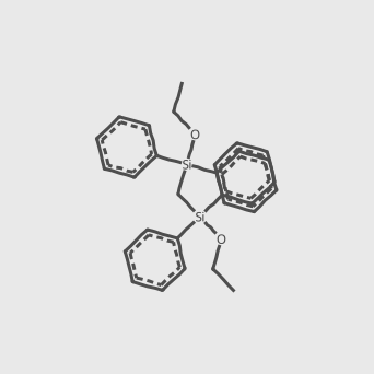 CCO[Si](C[Si](OCC)(c1ccccc1)c1ccccc1)(c1ccccc1)c1ccccc1